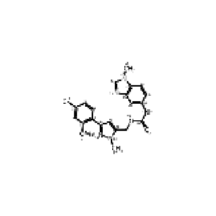 COc1cc(Cl)ccc1-c1cc(COC(=O)Nc2ccc3c(c2)ncn3C)n(C)n1